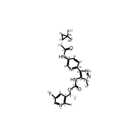 Cc1ncc(F)cc1[C@@H](C)OC(=O)Nc1c(-c2ccc(NC(=O)C[C@@H]3CC3(F)F)cn2)nnn1C